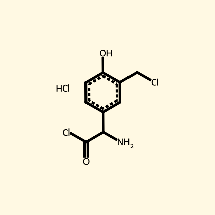 Cl.NC(C(=O)Cl)c1ccc(O)c(CCl)c1